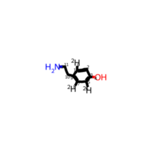 [2H]c1cc(O)c([2H])c([2H])c1CCN